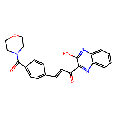 O=C(C=Cc1ccc(C(=O)N2CCOCC2)cc1)c1nc2ccccc2nc1O